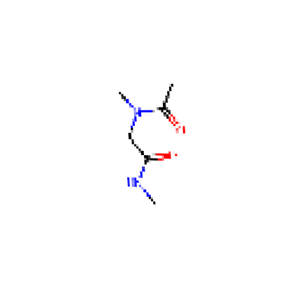 CNC(=O)CN(C)C(C)=O